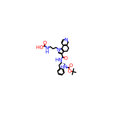 CC(C)(C)OC(=O)NC[C@H](Cc1ccccc1)NC(=O)c1cn(CCCNC(=O)O)c2c1CCc1cnccc1-2